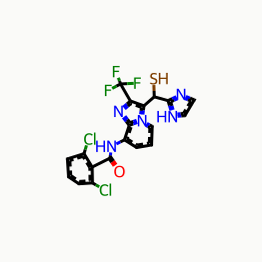 O=C(Nc1cccn2c(C(S)c3ncc[nH]3)c(C(F)(F)F)nc12)c1c(Cl)cccc1Cl